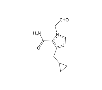 NC(=O)c1c(CC2CC2)ccn1CC=O